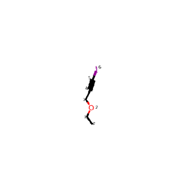 C[CH]OCC#CI